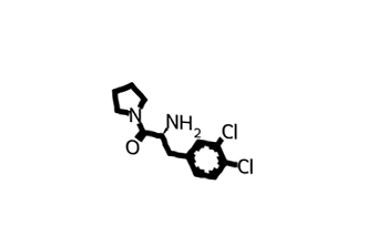 N[C@H](Cc1ccc(Cl)c(Cl)c1)C(=O)N1CCCC1